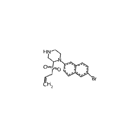 C=CCS(=O)(=O)C1CNCCN1c1ccc2cc(Br)ccc2c1